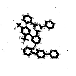 FC(F)(F)c1ccc(-c2cc(-n3c4ccccc4c4ccc(-c5ccccc5)cc43)ccc2-c2nc(-c3ccccc3)nc(-c3ccccc3)n2)c(C(F)(F)F)c1